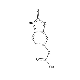 O=C(O)Oc1ccc2[nH]c(=O)oc2c1